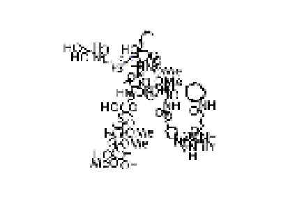 C=C(OC1OC(C)C(NOC2CC(O)C(SC(=O)c3c(C)c(I)c(OC4OC(C)C(O)C(OC)C4O)c(OC)c3OC)C(C)O2)C(O)C1OC1COCC(N(CC)C(=O)CNC(=O)OCc2ccc(NC(=O)[C@H](C)NC(=O)[C@@H](NC(=O)CCCC(=O)Nc3ccccccccc3)C(C)C)cc2)C1OC)C1/C(=C\CSSC(C)CCC(=O)NCC(O)CO)[C@](O)(C#C/C=C\C)CC(=O)C1NC(=O)OC